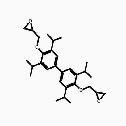 CC(C)c1cc(-c2cc(C(C)C)c(OCC3CO3)c(C(C)C)c2)cc(C(C)C)c1OCC1CO1